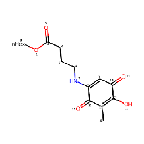 CCCCCCOC(=O)CCCNC1=CC(=O)C(O)=C(C)C1=O